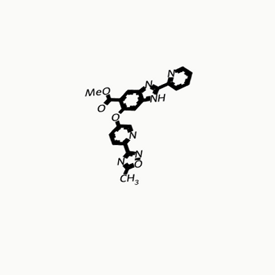 COC(=O)c1cc2nc(-c3ccccn3)[nH]c2cc1Oc1ccc(-c2noc(C)n2)nc1